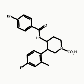 Cc1cc(F)ccc1C1CN(C(=O)O)CCC1NC(=O)c1ccc(Br)cc1